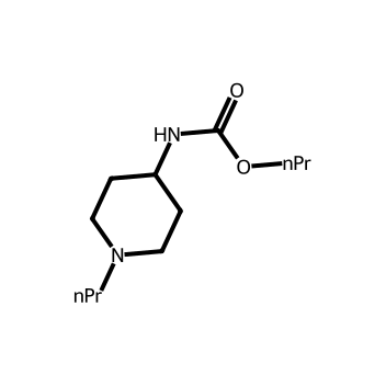 CCCOC(=O)NC1CCN(CCC)CC1